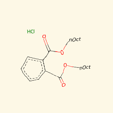 CCCCCCCCOC(=O)c1ccccc1C(=O)OCCCCCCCC.Cl